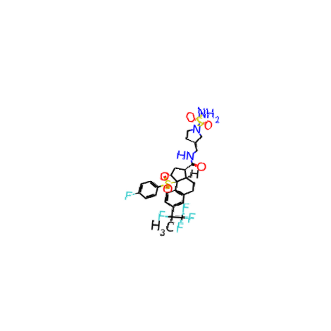 CC(F)(c1ccc2c(c1)CC[C@H]1[C@H](C(=O)NCC3CCN(S(N)(=O)=O)C3)CC[C@@]21S(=O)(=O)c1ccc(F)cc1)C(F)(F)F